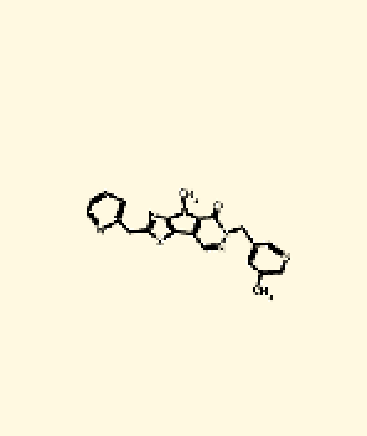 CC1C=C(Cn2ncc3c4sc(Cc5ccccn5)nc4n(C)c3c2=O)C=NC1